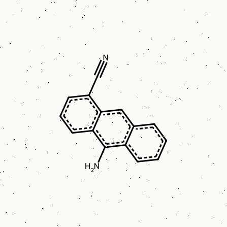 N#Cc1cccc2c(N)c3ccccc3cc12